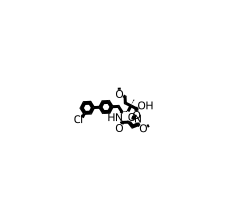 COCC[C@](C)(C[C@@H](Cc1ccc(-c2cccc(Cl)c2)cc1)NC(=O)c1cc(OC)no1)C(=O)O